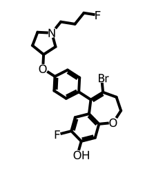 Oc1cc2c(cc1F)C(c1ccc(OC3CCN(CCCF)C3)cc1)=C(Br)CCO2